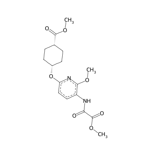 COC(=O)C(=O)Nc1ccc(O[C@H]2CC[C@@H](C(=O)OC)CC2)nc1OC